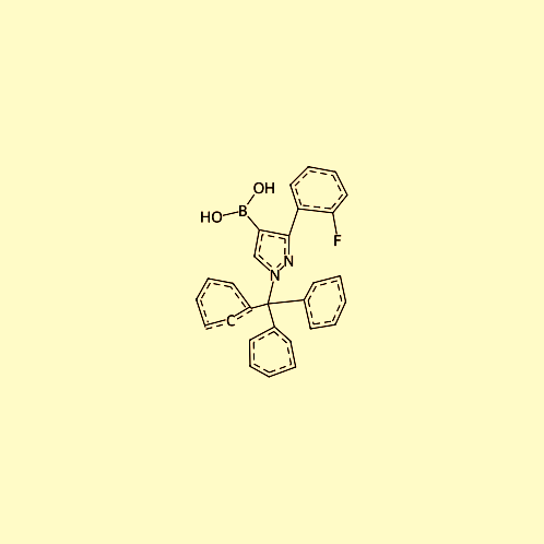 OB(O)c1cn(C(c2ccccc2)(c2ccccc2)c2ccccc2)nc1-c1ccccc1F